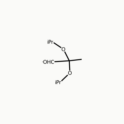 CC(C)OC(C)([C]=O)OC(C)C